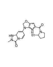 CCC1CCCN1C(=O)c1cc2c([nH]1)N(C1=CC3NN(C)C(=O)N3C=C1)CO2